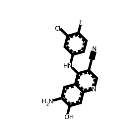 N#Cc1cnc2cc(O)c(N)cc2c1Nc1ccc(F)c(Cl)c1